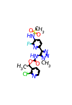 C[C@@H](OC(=O)Nc1c(-c2ccc(NS(C)(=O)=O)c(F)n2)nnn1C)c1cccnc1Cl